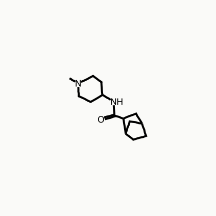 CN1CCC(NC(=O)C2CC3CCC2C3)CC1